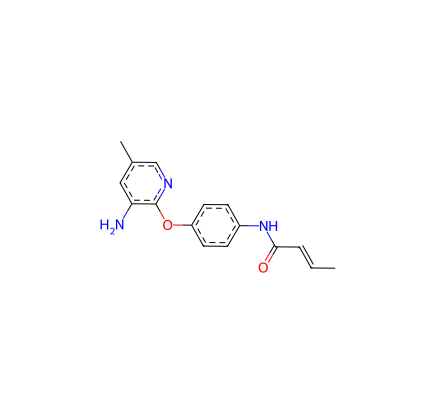 C/C=C/C(=O)Nc1ccc(Oc2ncc(C)cc2N)cc1